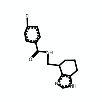 O=C(NCC1CCCc2[nH]cnc21)c1ccc(Cl)cc1